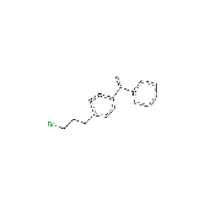 C=C(c1ccccc1)c1ccc(CCCBr)cc1